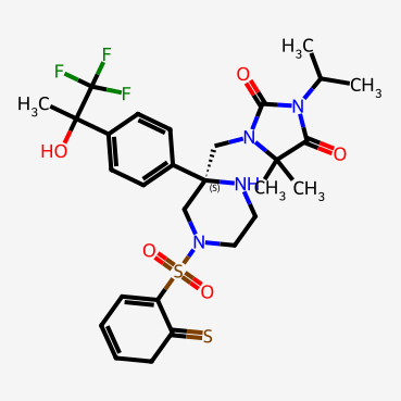 CC(C)N1C(=O)N(C[C@@]2(c3ccc(C(C)(O)C(F)(F)F)cc3)CN(S(=O)(=O)C3=CC=CCC3=S)CCN2)C(C)(C)C1=O